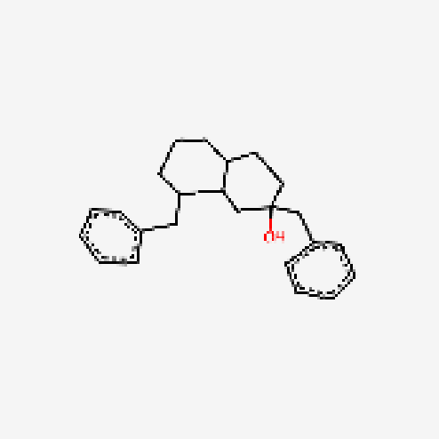 OC1(Cc2ccccc2)CCC2CCCC(Cc3ccccc3)C2C1